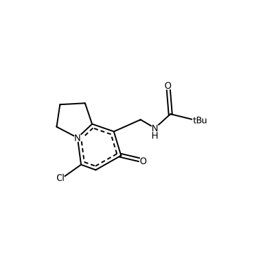 CC(C)(C)C(=O)NCc1c2n(c(Cl)cc1=O)CCC2